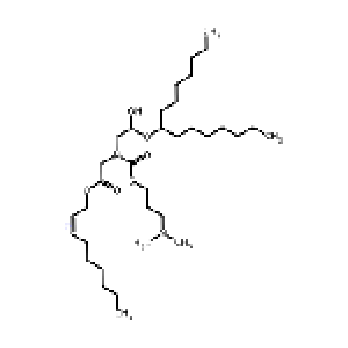 CCCCCC/C=C\COC(=O)CN(CC(O)OC(CCCCCCC)CCCCCCC)C(=O)SCCCN(C)C